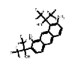 Nc1ccc2cc3ccc(C(O)(C(F)(F)F)C(F)(F)F)c(N)c3cc2c1C(O)(C(F)(F)F)C(F)(F)F